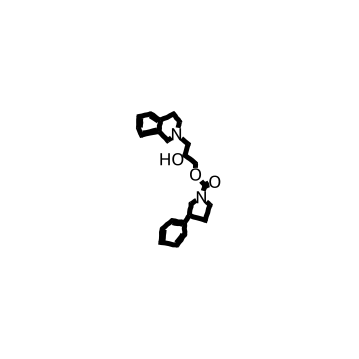 O=C(OC[C@H](O)CN1CCc2ccccc2C1)N1CCC(c2ccccc2)C1